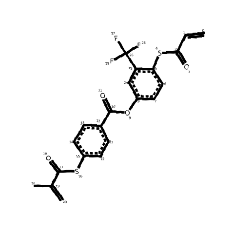 C=CC(=O)Sc1ccc(OC(=O)c2ccc(SC(=O)C(=C)C)cc2)cc1C(F)(F)F